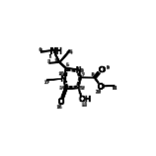 CNC(C)(C)c1nc(C(=O)OC)c(O)c(=O)n1C